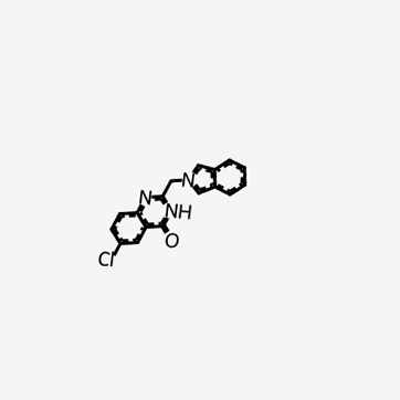 O=c1[nH]c(Cn2cc3ccccc3c2)nc2ccc(Cl)cc12